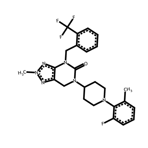 Cc1cccc(F)c1N1CCC(N2Cc3nn(C)nc3N(Cc3ccccc3C(F)(F)F)C2=O)CC1